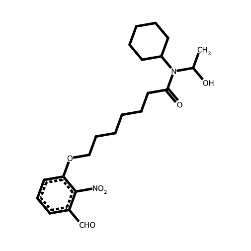 CC(O)N(C(=O)CCCCCCOc1cccc(C=O)c1[N+](=O)[O-])C1CCCCC1